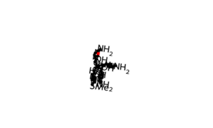 CSCCN1CCN(CC(O)COCC(COCC(O)CN2CCN(CCN)CC2)(COCC(O)CN2CCN(CCN)CC2)COCC(O)CN2CCN(CCN)CC2)CC1